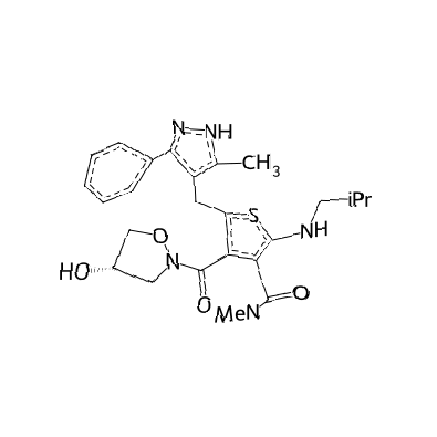 CNC(=O)c1c(NCC(C)C)sc(Cc2c(-c3ccccc3)n[nH]c2C)c1C(=O)N1C[C@H](O)CO1